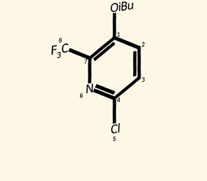 CC(C)COc1ccc(Cl)nc1C(F)(F)F